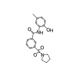 Cc1ccc(O)c(NC(=O)c2cccc(S(=O)(=O)N3CCCC3)c2)c1